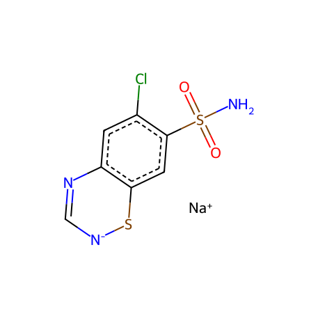 NS(=O)(=O)c1cc2c(cc1Cl)N=C[N-]S2.[Na+]